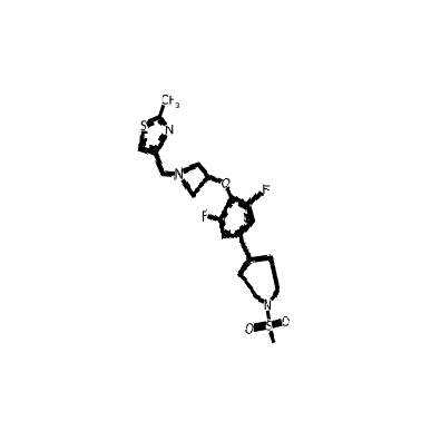 CS(=O)(=O)N1CCC(c2cc(F)c(OC3CN(Cc4csc(C(F)(F)F)n4)C3)c(F)c2)CC1